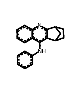 c1ccc(Nc2c3c(nc4ccccc24)C2CCC3C2)cc1